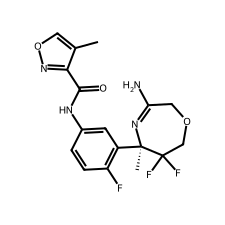 Cc1conc1C(=O)Nc1ccc(F)c([C@@]2(C)N=C(N)COCC2(F)F)c1